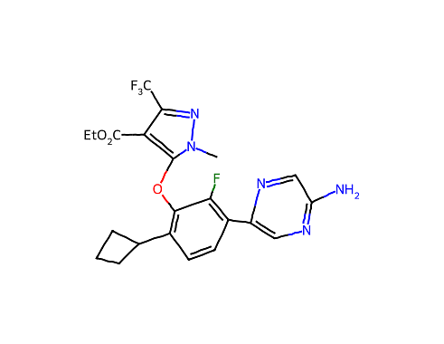 CCOC(=O)c1c(C(F)(F)F)nn(C)c1Oc1c(C2CCC2)ccc(-c2cnc(N)cn2)c1F